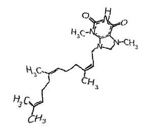 CC(C)=CCCC(C)=CCCC(C)=CCN1CN(C)c2c1n(C)c(=O)[nH]c2=O